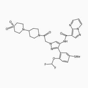 CSc1ccc(OC(F)F)c(-c2nn(CC(=O)N3CCC(N4CCS(=O)(=O)CC4)CC3)cc2NC(=O)c2cnn3cccnc23)c1